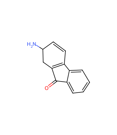 NC1C=CC2=C(C1)C(=O)c1ccccc12